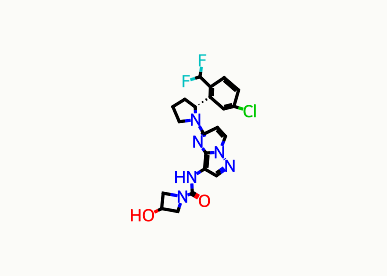 O=C(Nc1cnn2ccc(N3CCC[C@@H]3c3cc(Cl)ccc3C(F)F)nc12)N1CC(O)C1